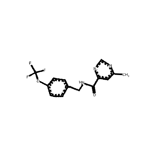 Cc1cc(C(=O)NCc2ccc(OC(F)(F)F)cc2)ncn1